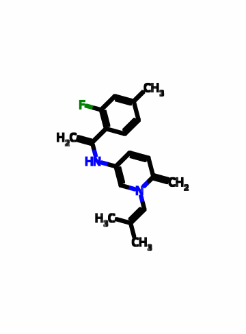 C=C(NC1=CN(C=C(C)C)C(=C)C=C1)c1ccc(C)cc1F